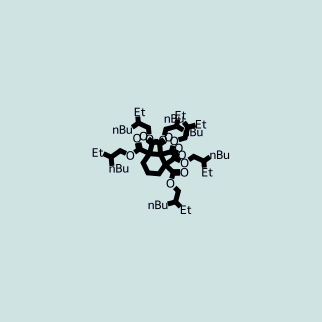 CCCCC(CC)COC(=O)C1(C(=O)OCC(CC)CCCC)CCCC(C(=O)OCC(CC)CCCC)(C(=O)OCC(CC)CCCC)C1(C(=O)OCC(CC)CCCC)C(=O)OCC(CC)CCCC